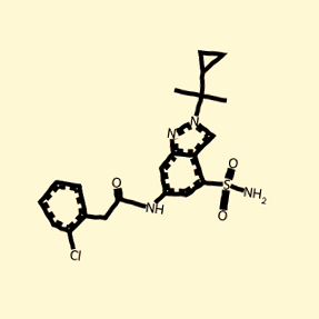 CC(C)(C1CC1)n1cc2c(S(N)(=O)=O)cc(NC(=O)Cc3ccccc3Cl)cc2n1